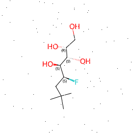 CC(C)(C)C[C@H](F)[C@@H](O)[C@@H](O)[C@H](O)CO